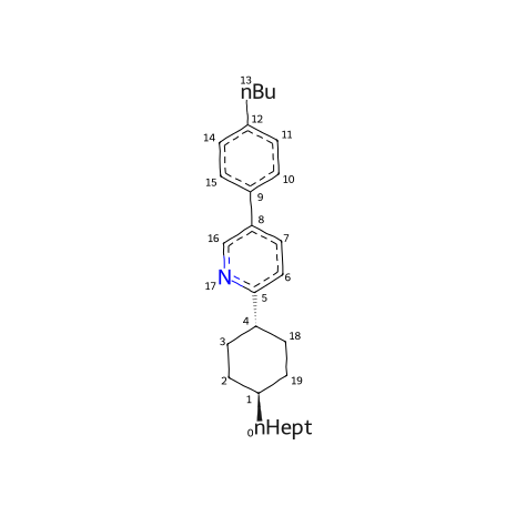 CCCCCCC[C@H]1CC[C@H](c2ccc(-c3ccc(CCCC)cc3)cn2)CC1